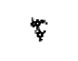 Nc1cc(OCc2c(F)cc(Br)cc2F)c2nn[nH]c2n1